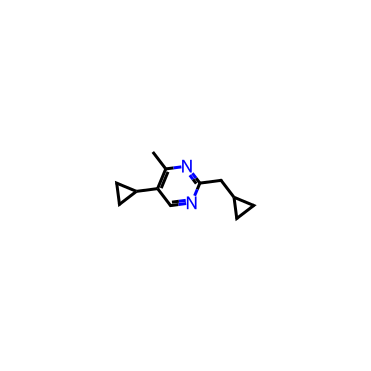 Cc1nc(CC2CC2)ncc1C1CC1